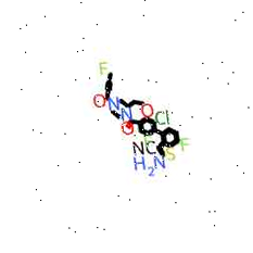 N#Cc1c(N)sc2c(F)ccc(-c3c(F)cc4c(c3Cl)OCCC3CN(C(=O)C#CCF)CCN3C4=O)c12